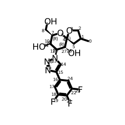 CC1CO[C@@]2(C1)O[C@H](CO)[C@H](O)[C@H](n1cc(-c3cc(F)c(F)c(F)c3)nn1)[C@H]2O